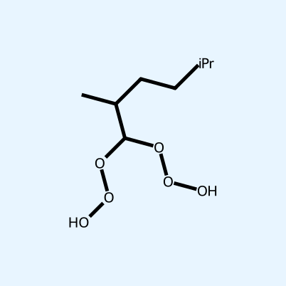 CC(C)CCC(C)C(OOO)OOO